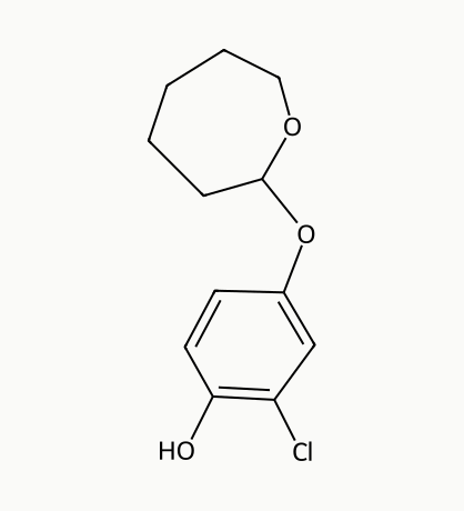 Oc1ccc(OC2CCCCCO2)cc1Cl